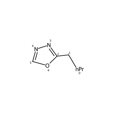 CCC[CH]c1nnco1